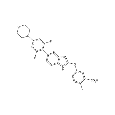 Cc1ccc(Oc2cc3nc(-c4c(F)cc(N5CCOCC5)cc4F)ccc3[nH]2)cc1C(=O)O